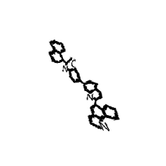 c1ccc2c(-c3ccc4cc(-c5ccc6ccc(-c7cc8cccnc8c8ccccc78)nc6c5)ccc4n3)cccc2c1